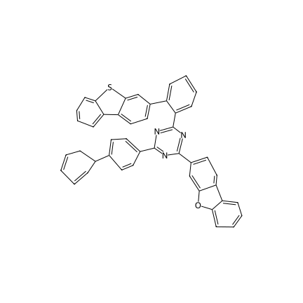 C1=CCC(c2ccc(-c3nc(-c4ccc5c(c4)oc4ccccc45)nc(-c4ccccc4-c4ccc5c(c4)sc4ccccc45)n3)cc2)C=C1